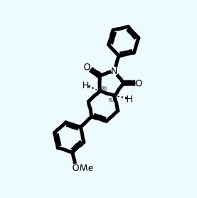 COc1cccc(C2=CC[C@@H]3C(=O)N(c4ccccc4)C(=O)[C@@H]3C2)c1